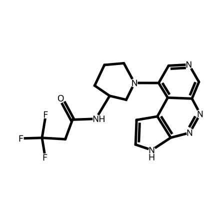 O=C(CC(F)(F)F)NC1CCCN(c2cncc3nnc4[nH]ccc4c23)C1